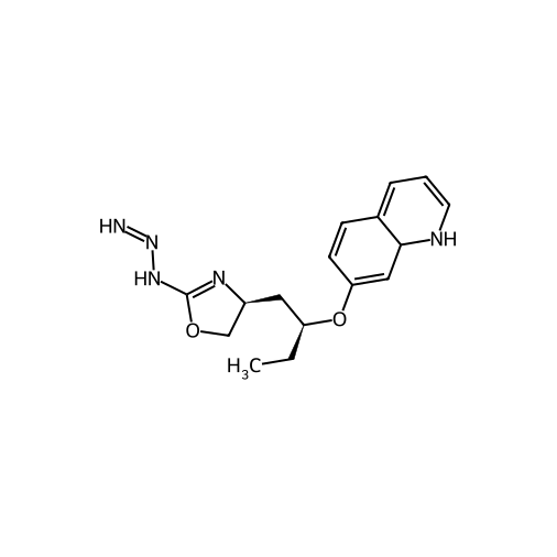 CC[C@@H](C[C@H]1COC(NN=N)=N1)OC1=CC2NC=CC=C2C=C1